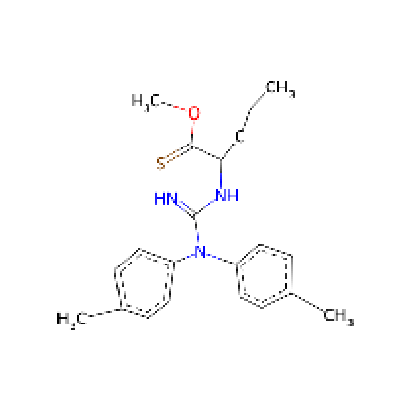 CCCC(NC(=N)N(c1ccc(C)cc1)c1ccc(C)cc1)C(=S)OC